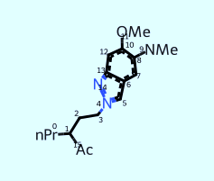 CCCC(CCn1cc2cc(NC)c(OC)cc2n1)C(C)=O